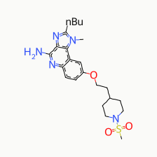 CCCCc1nc2c(N)nc3ccc(OCCC4CCN(S(C)(=O)=O)CC4)cc3c2n1C